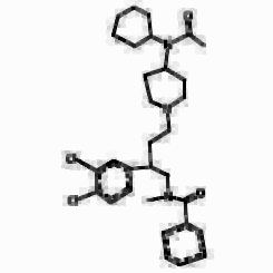 CC(=O)N(C1CCCCC1)C1CCN(CCC(CN(C)C(=O)c2ccccc2)c2ccc(Cl)c(Cl)c2)CC1